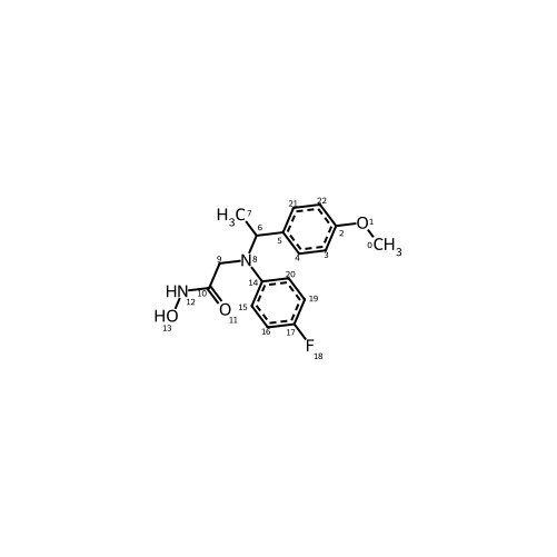 COc1ccc(C(C)N(CC(=O)NO)c2ccc(F)cc2)cc1